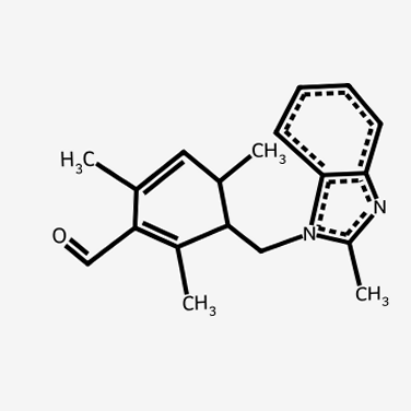 CC1=CC(C)C(Cn2c(C)nc3ccccc32)C(C)=C1C=O